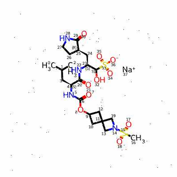 CC(C)C[C@H](NC(=O)OC1CC2(C1)CN(S(C)(=O)=O)C2)C(=O)N[C@@H](C[C@H]1CCNC1=O)C(O)S(=O)(=O)[O-].[Na+]